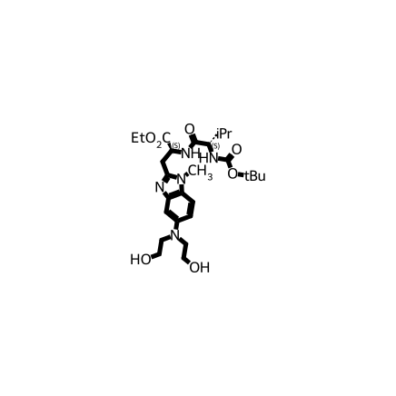 CCOC(=O)[C@H](Cc1nc2cc(N(CCO)CCO)ccc2n1C)NC(=O)[C@@H](NC(=O)OC(C)(C)C)C(C)C